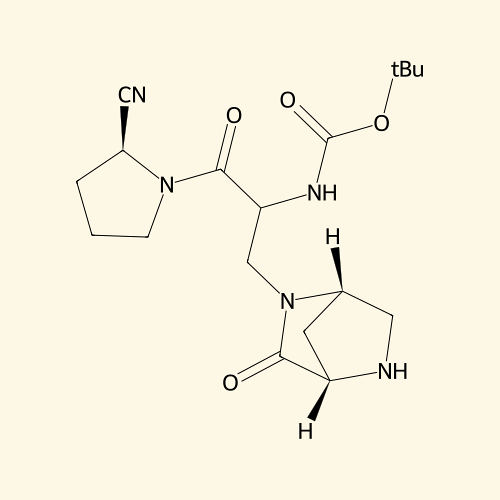 CC(C)(C)OC(=O)NC(CN1C(=O)[C@@H]2C[C@H]1CN2)C(=O)N1CCC[C@H]1C#N